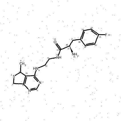 CC1SCc2ncnc(NCCNC(=O)[C@H](N)Cc3ccc(F)cc3)c21